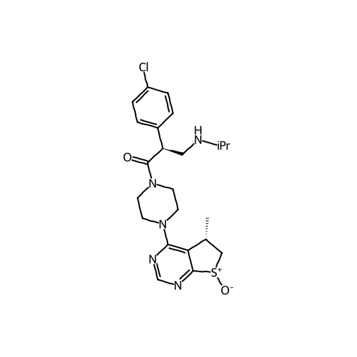 CC(C)NC[C@@H](C(=O)N1CCN(c2ncnc3c2[C@H](C)C[S+]3[O-])CC1)c1ccc(Cl)cc1